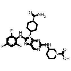 NC(=O)[C@H]1CC[C@@H](n2c(Nc3c(F)cc(F)cc3F)nc3cnc(NC4CCCN(C(=O)O)C4)nc32)CC1